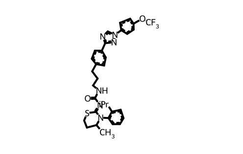 CC(C)c1ccccc1N1/C(=N/C(=O)NCCCc2ccc(-c3ncn(-c4ccc(OC(F)(F)F)cc4)n3)cc2)SCCC1C